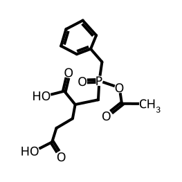 CC(=O)OP(=O)(Cc1ccccc1)CC(CCC(=O)O)C(=O)O